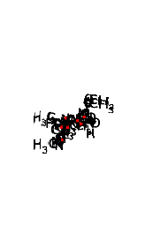 Cc1cc(-n2nc3c(c2-n2ccn(-c4ccc5c(cnn5C)c4F)c2=O)[C@H](C)N(C(=O)c2cn4cc([C@@H]5CCOC(C)(C)C5)ccc4c2[C@]2(c4noc(=O)[nH]4)C[C@@H]2C)CC3)cc(C)c1F